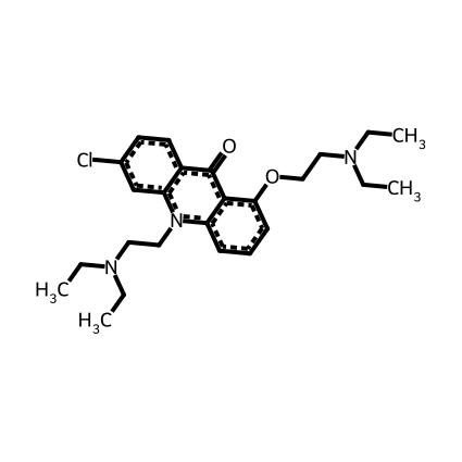 CCN(CC)CCOc1cccc2c1c(=O)c1ccc(Cl)cc1n2CCN(CC)CC